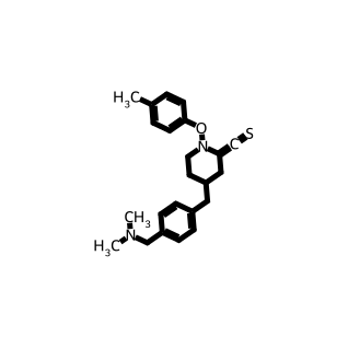 Cc1ccc(ON2CCC(Cc3ccc(CN(C)C)cc3)CC2=C=S)cc1